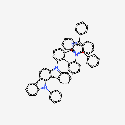 c1ccc(-c2cc(-c3ccccc3)nc(-c3cccc(-n4c5ccccc5c5c4ccc4c6ccccc6n(-c6ccccc6)c45)c3-c3ccccc3-n3c4ccccc4c4ccccc43)n2)cc1